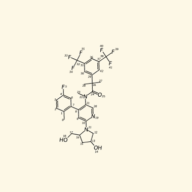 Cc1ccc(F)cc1-c1cc(N2CC(O)CC2CO)ncc1N(C)C(=O)C(C)(C)c1cc(C(F)(F)F)cc(C(F)(F)F)c1